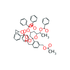 CC(=O)OCc1ccc(Cc2ccc(OC3CC3)cc2)c([C@@]2(O)O[C@H]([C@H](C)OC(=O)c3ccccc3)[C@@H](OC(=O)c3ccccc3)[C@H](OC(=O)c3ccccc3)[C@H]2OC(=O)c2ccccc2)c1